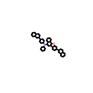 c1ccc(N(c2ccc(-c3ccc4ccccc4c3)cc2)c2cc3c4ccc(-c5ccc6ccccc6c5)cc4oc3c3ccccc23)cc1